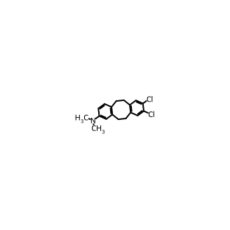 CN(C)c1ccc2c(c1)CCc1cc(Cl)c(Cl)cc1CC2